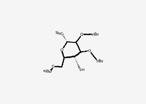 CCCCOCC1O[C@H](OC)C(OCCCC)C(OCCCC)[C@@H]1S